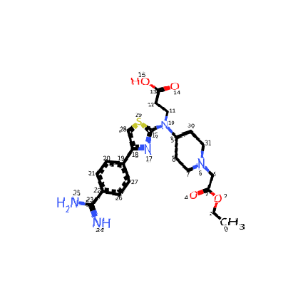 CCOC(=O)CN1CCC(N(CCC(=O)O)c2nc(-c3ccc(C(=N)N)cc3)cs2)CC1